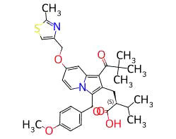 COc1ccc(C(=O)c2c(C[C@H](C(=O)O)C(C)C)c(C(=O)C(C)(C)C)c3cc(OCc4csc(C)n4)ccn23)cc1